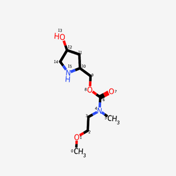 COCCN(C)C(=O)OCC1CC(O)CN1